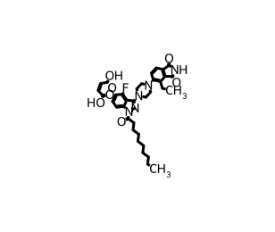 CCCCCCCCCC(=O)n1nc(N2CCN(c3ccc4c(c3CC)C(=O)NC4=O)CC2)c2c(F)cccc21.O=C(O)/C=C\C(=O)O